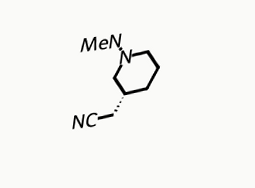 CNN1CCC[C@H](CC#N)C1